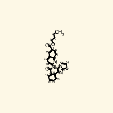 CCCCOC(=O)c1ccc2nc(NC(=O)c3ccccc3-c3cn4ccsc4n3)ccc2c1